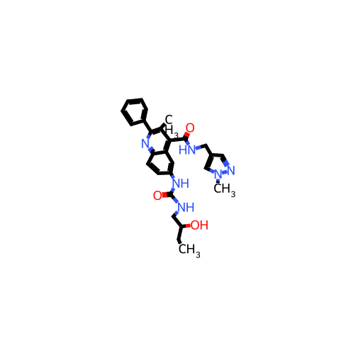 CCC(O)CNC(=O)Nc1ccc2nc(-c3ccccc3)c(C)c(C(=O)NCc3cnn(C)c3)c2c1